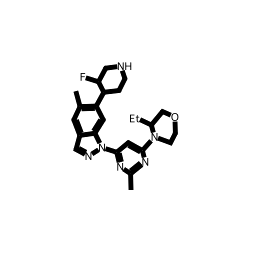 CCC1COCCN1c1cc(-n2ncc3cc(C)c(C4CCNCC4F)cc32)nc(C)n1